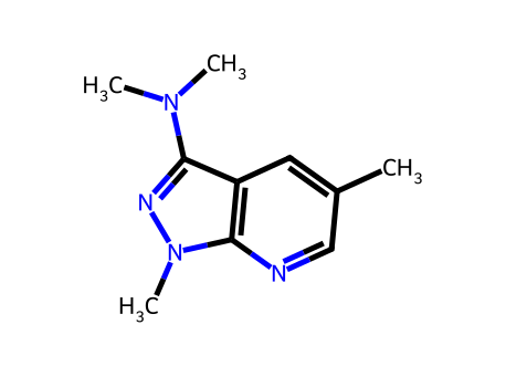 Cc1cnc2c(c1)c(N(C)C)nn2C